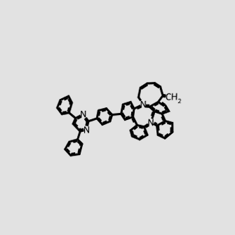 C=C1/C=C\C=C/Cn2c3ccc(-c4ccc(-c5nc(-c6ccccc6)cc(-c6ccccc6)n5)cc4)cc3c3ccccc3n3c4ccccc4c4ccc1c2c43